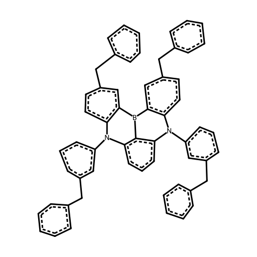 c1ccc(Cc2cccc(N3c4ccc(Cc5ccccc5)cc4B4c5cc(Cc6ccccc6)ccc5N(c5cccc(Cc6ccccc6)c5)c5cccc3c54)c2)cc1